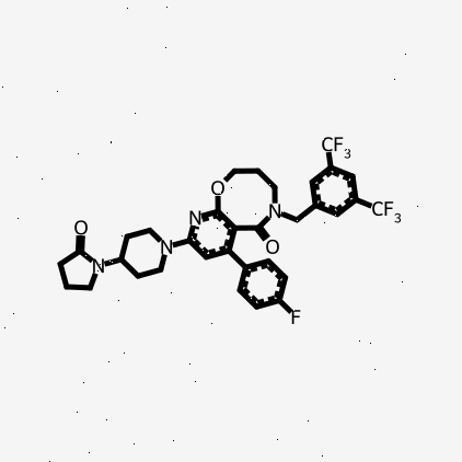 O=C1c2c(-c3ccc(F)cc3)cc(N3CCC(N4CCCC4=O)CC3)nc2OCCCN1Cc1cc(C(F)(F)F)cc(C(F)(F)F)c1